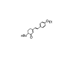 CCCCC1CCC(/C=C/c2ccc(OCC)cc2)=CC1=O